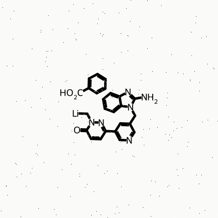 O=C(O)c1ccccc1.[Li][CH2]n1nc(-c2cncc(Cn3c(N)nc4ccccc43)c2)ccc1=O